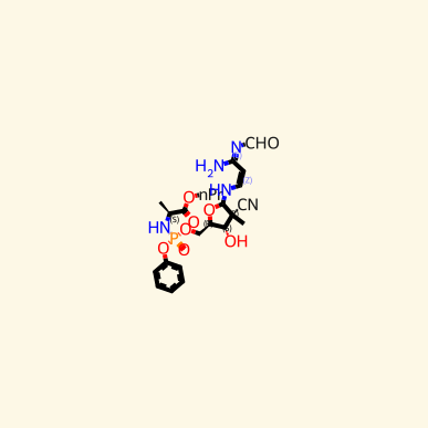 CCCOC(=O)[C@H](C)NP(=O)(OC[C@H]1OC(N/C=C\C(N)=N/C=O)[C@](C)(C#N)[C@@H]1O)Oc1ccccc1